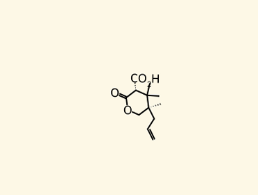 C=CC[C@@]1(C)COC(=O)[C@H](C(=O)O)C1(C)C